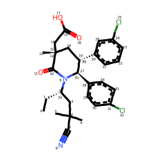 CC[C@@H](CC(C)(C)C#N)N1C(=O)[C@](C)(CC(=O)O)C[C@H](c2cccc(Cl)c2)[C@H]1c1ccc(Cl)cc1